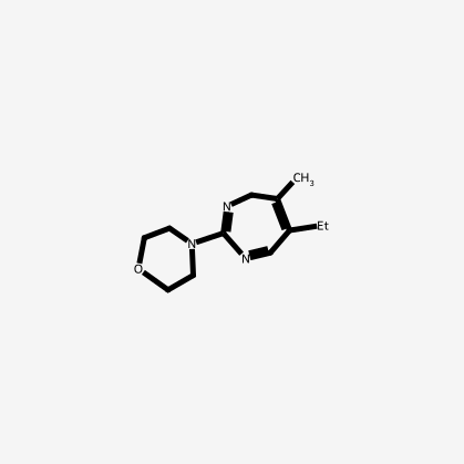 CCC1=C(C)CN=C(N2CCOCC2)N=C1